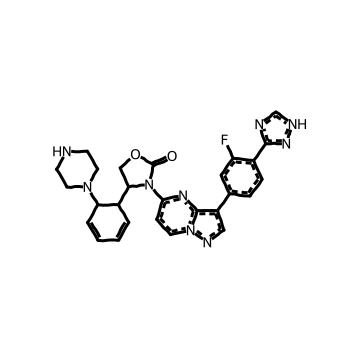 O=C1OCC(C2C=CC=CC2N2CCNCC2)N1c1ccn2ncc(-c3ccc(-c4nc[nH]n4)c(F)c3)c2n1